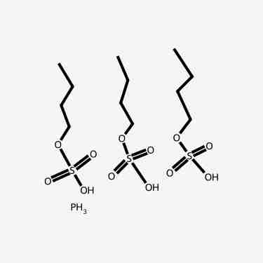 CCCCOS(=O)(=O)O.CCCCOS(=O)(=O)O.CCCCOS(=O)(=O)O.P